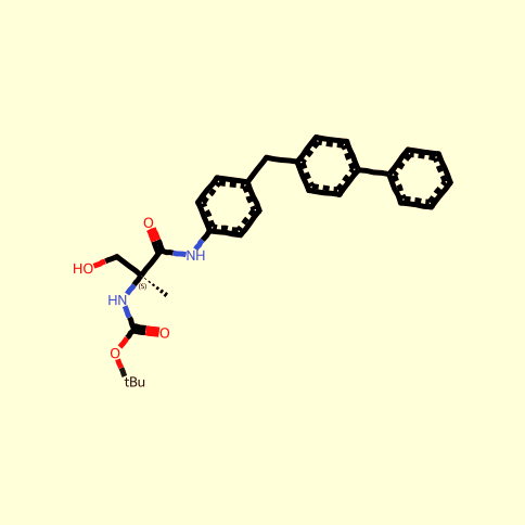 CC(C)(C)OC(=O)N[C@@](C)(CO)C(=O)Nc1ccc(Cc2ccc(-c3ccccc3)cc2)cc1